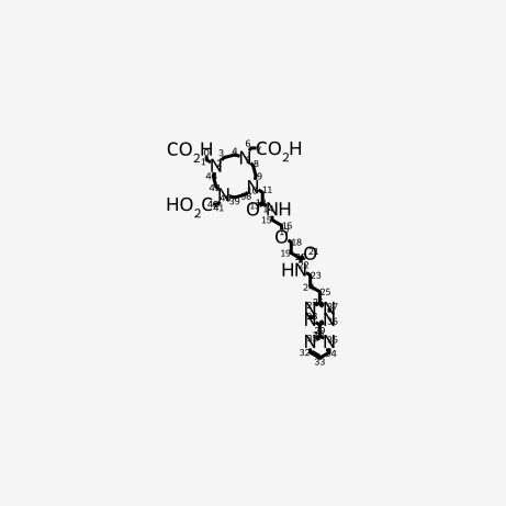 O=C(O)CN1CCN(CC(=O)O)CCN(CC(=O)NCCOCCC(=O)NCCCc2nnc(-c3ncccn3)nn2)CCN(CC(=O)O)CC1